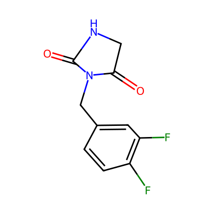 O=C1CNC(=O)N1Cc1ccc(F)c(F)c1